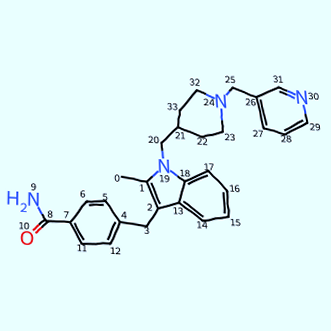 Cc1c(Cc2ccc(C(N)=O)cc2)c2ccccc2n1CC1CCN(Cc2cccnc2)CC1